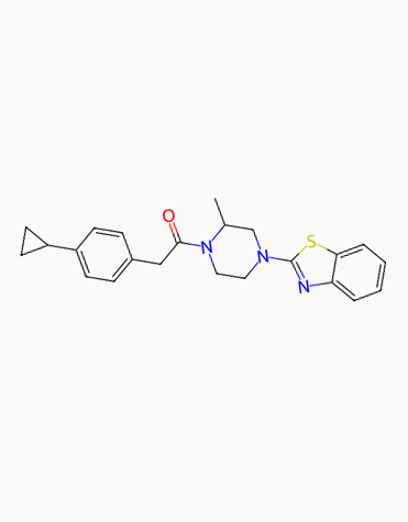 CC1CN(c2nc3ccccc3s2)CCN1C(=O)Cc1ccc(C2CC2)cc1